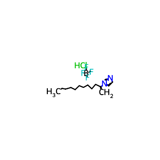 C=C(CCCCCCCCCC)n1ccnc1.Cl.F[B-](F)(F)F